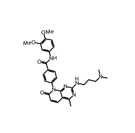 COc1ccc(NC(=O)c2ccc(-n3c(=O)ccc4c(C)nc(NCCCN(C)C)nc43)cc2)cc1OC